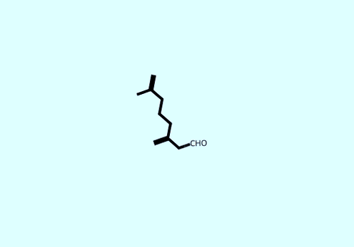 C=C(C)CCCC(=C)CC=O